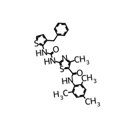 Cc1cc(C)c(NC(=O)c2sc(NC(=O)Nc3sccc3Cc3ccccc3)nc2C)c(C)c1